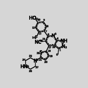 Cc1n[nH]c2nc(-c3ccc(O)cc3F)c(C#N)c(-c3ccc(N4CCNCC4)s3)c12